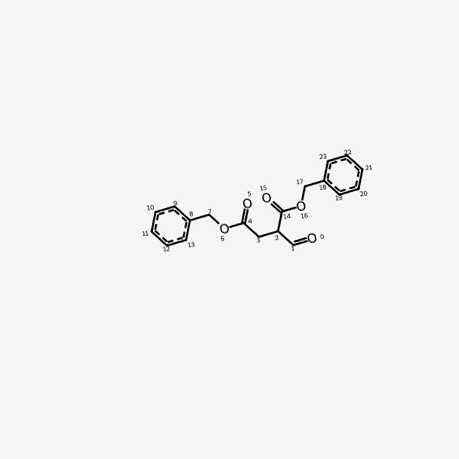 O=CC(CC(=O)OCc1ccccc1)C(=O)OCc1ccccc1